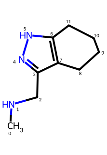 CNCc1n[nH]c2c1CCCC2